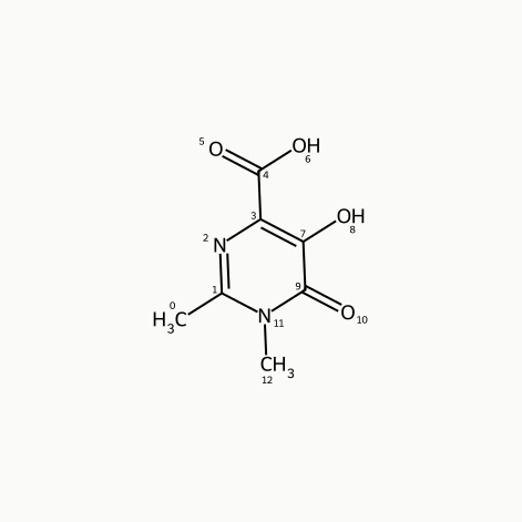 Cc1nc(C(=O)O)c(O)c(=O)n1C